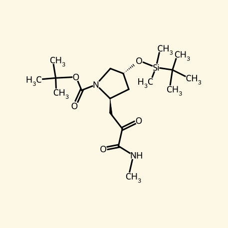 CNC(=O)C(=O)C[C@@H]1C[C@@H](O[Si](C)(C)C(C)(C)C)CN1C(=O)OC(C)(C)C